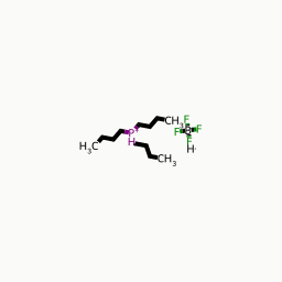 CCCC[PH+](CCCC)CCCC.F[B-](F)(F)F.[H]